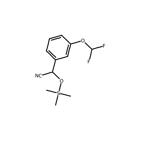 C[Si](C)(C)OC(C#N)c1cccc(OC(F)F)c1